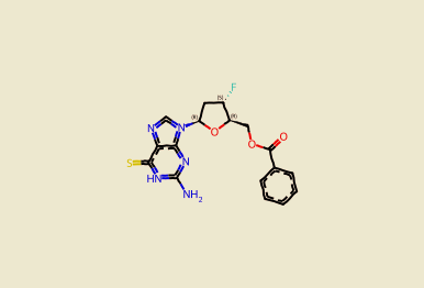 Nc1nc2c(ncn2[C@H]2C[C@H](F)[C@@H](COC(=O)c3ccccc3)O2)c(=S)[nH]1